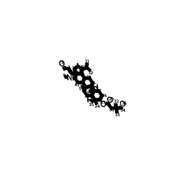 CN/C(=C\C=O)C12CCC(C(C)C)=C1C1CC[C@H]3C(C)(CC[C@H]4C(C)(C)C(OC(=O)CC(C)(C)C=O)CCC43C)C1CC2